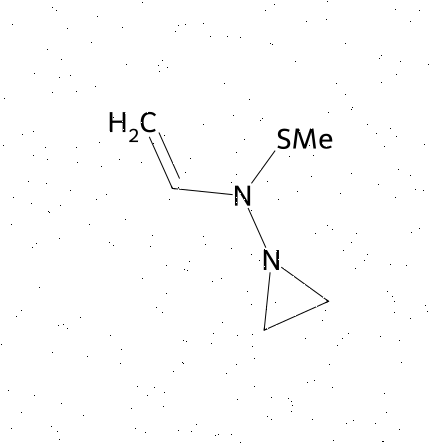 C=CN(SC)N1CC1